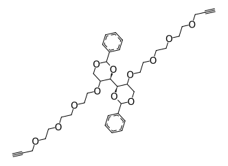 C#CCOCCOCCOCCOC1COC(c2ccccc2)O[C@H]1[C@@H]1OC(c2ccccc2)OCC1OCCOCCOCCOCC#C